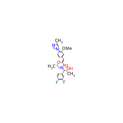 COc1cc(C=C2O[C@@H](C)CN([C@H](c3ccc(F)c(F)c3)[C@@H](C)O)C2=O)ccc1-n1cnc(C)c1